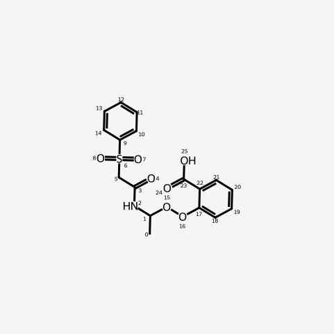 CC(NC(=O)CS(=O)(=O)c1ccccc1)OOc1ccccc1C(=O)O